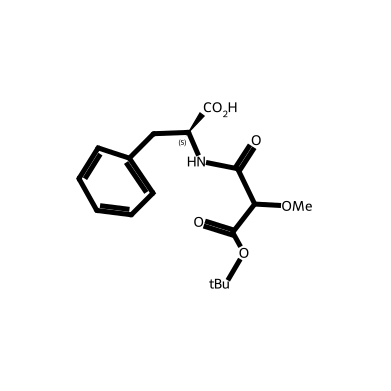 COC(C(=O)N[C@@H](Cc1ccccc1)C(=O)O)C(=O)OC(C)(C)C